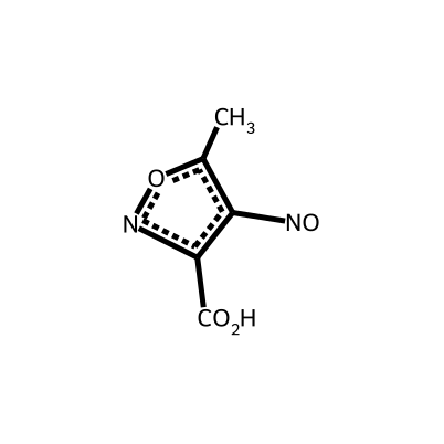 Cc1onc(C(=O)O)c1N=O